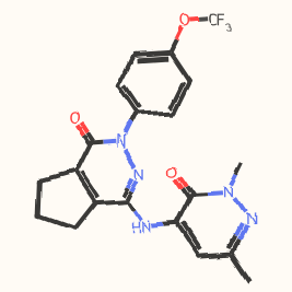 Cc1cc(Nc2nn(-c3ccc(OC(F)(F)F)cc3)c(=O)c3c2CCC3)c(=O)n(C)n1